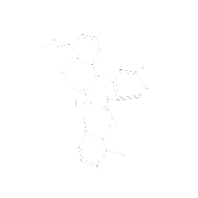 Cc1cccc(C)c1O[PH](=O)c1ccccc1-c1c(O)ccc2c(O)cccc12